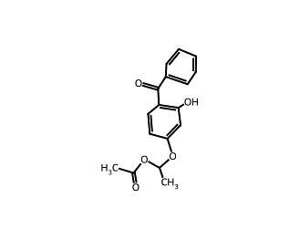 CC(=O)OC(C)Oc1ccc(C(=O)c2ccccc2)c(O)c1